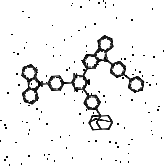 c1ccc(-c2ccc(-n3c4ccccc4c4ccc(-c5nc(-c6ccc(-n7c8ccccc8c8ccccc87)cc6)nc(-c6ccc(C78CC9CC(CC(C9)C7)C8)cc6)n5)cc43)cc2)cc1